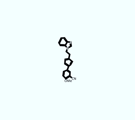 COc1ccc(-c2ccc(CCn3cnc4ccccc43)cc2)cc1C#N